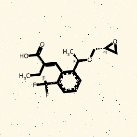 CCC(=Cc1c([C@@H](C)OC[C@H]2CO2)cccc1C(F)(F)F)C(=O)O